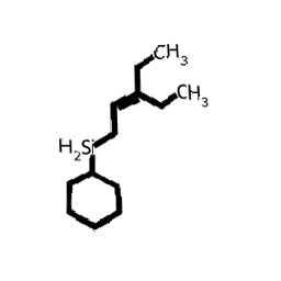 CCC(=CC[SiH2]C1CCCCC1)CC